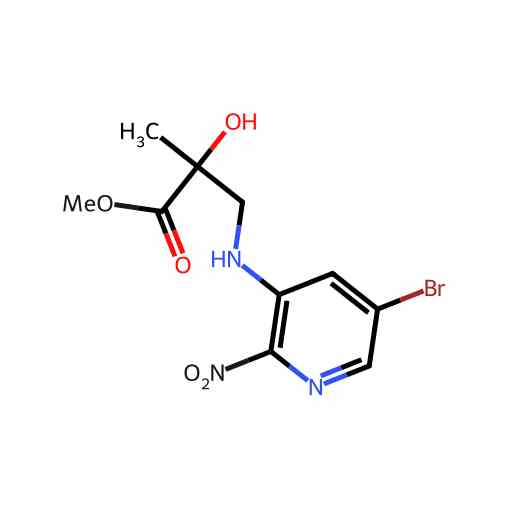 COC(=O)C(C)(O)CNc1cc(Br)cnc1[N+](=O)[O-]